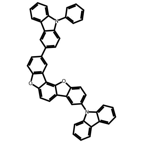 c1ccc(-n2c3ccccc3c3cc(-c4ccc5oc6ccc7c8cc(-n9c%10ccccc%10c%10ccccc%109)ccc8oc7c6c5c4)ccc32)cc1